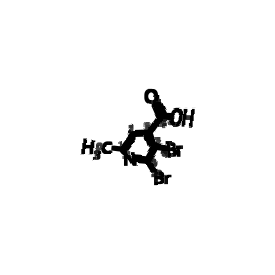 Cc1cc(C(=O)O)c(Br)c(Br)n1